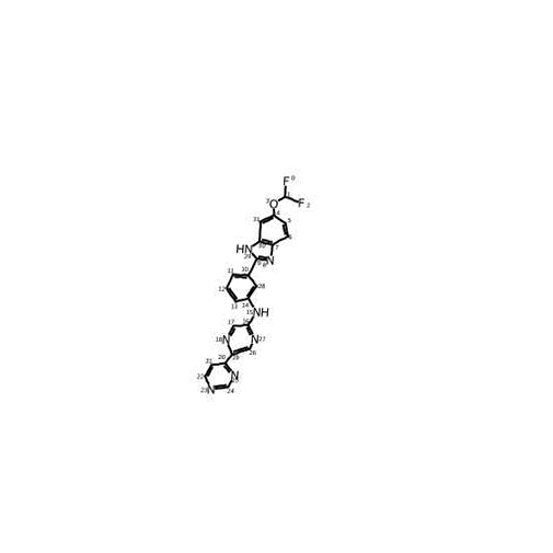 FC(F)Oc1ccc2nc(-c3cccc(Nc4cnc(-c5ccncn5)cn4)c3)[nH]c2c1